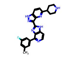 Cc1cc(F)cc(-c2nccc3[nH]c(-c4n[nH]c5ccc(C6CCNCC6)nc45)nc23)c1